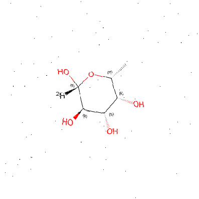 [2H][C@@]1(O)O[C@H](C)[C@H](O)[C@H](O)[C@H]1O